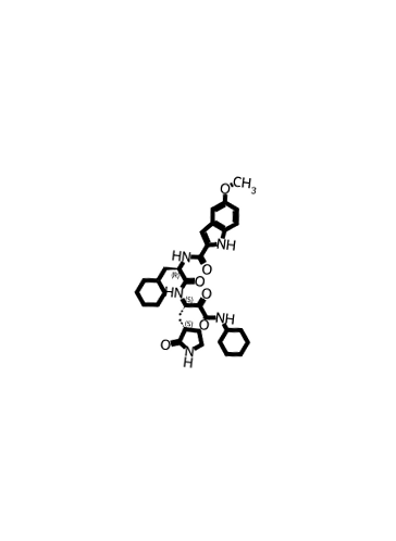 COc1ccc2[nH]c(C(=O)N[C@H](CC3CCCCC3)C(=O)N[C@@H](C[C@@H]3CCNC3=O)C(=O)C(=O)NC3CCCCC3)cc2c1